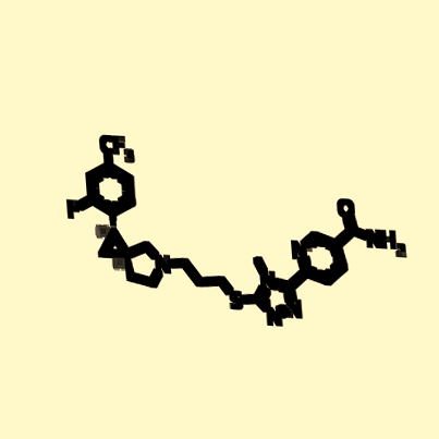 Cn1c(SCCCN2CC[C@]3(C[C@@H]3c3ccc(C(F)(F)F)cc3F)C2)nnc1-c1ccc(C(N)=O)cn1